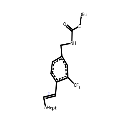 CCCCCCC/C=C/c1ccc(CNC(=O)OC(C)(C)C)cc1C(F)(F)F